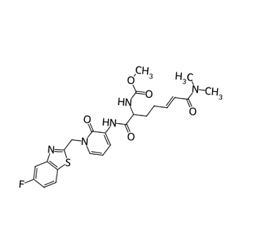 COC(=O)NC(CCC=CC(=O)N(C)C)C(=O)Nc1cccn(Cc2nc3cc(F)ccc3s2)c1=O